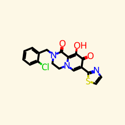 O=C1c2c(O)c(=O)c(-c3nccs3)cn2CCN1Cc1ccccc1Cl